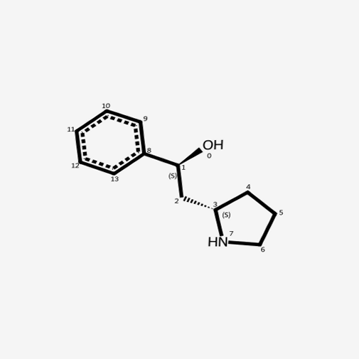 O[C@@H](C[C@@H]1CCCN1)c1ccccc1